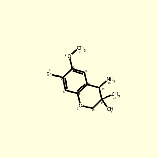 COc1cc2c(cc1Br)OCC(C)(C)C2N